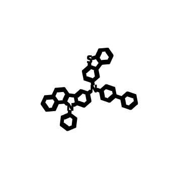 c1ccc(-c2ccc(N(c3ccc4sc5ccccc5c4c3)c3ccc4c(c3)c3ccc5ccccc5c3n4-c3ccccc3)cc2)cc1